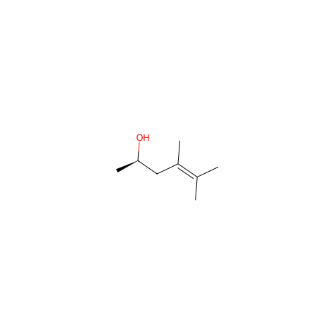 CC(C)=C(C)C[C@@H](C)O